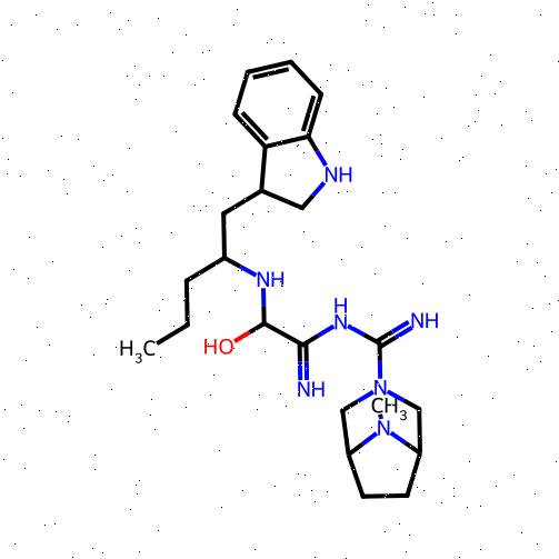 CCCC(CC1CNc2ccccc21)NC(O)C(=N)NC(=N)N1CC2CCC(C1)N2C